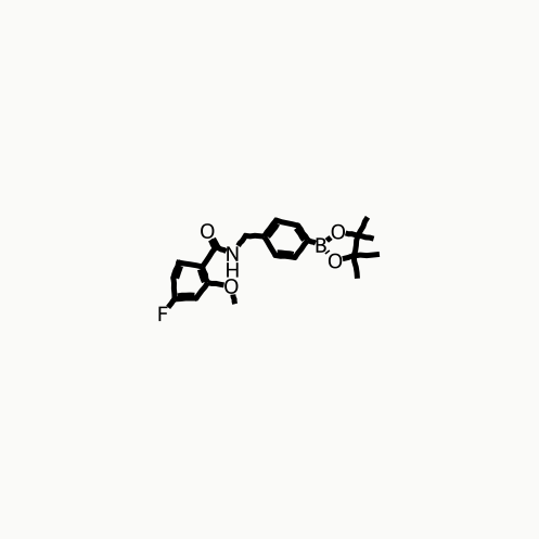 COc1cc(F)ccc1C(=O)NCc1ccc(B2OC(C)(C)C(C)(C)O2)cc1